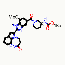 COc1cc(C(=O)N2CCC[C@@H](NC(=O)OC(C)(C)C)C2)cc2nc(-c3cc4cccc5c4n3CCC(=O)N5)n(C)c12